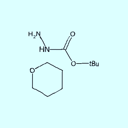 C1CCOCC1.CC(C)(C)OC(=O)NN